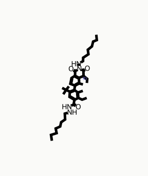 C/C=C1/C(=O)N(NCCCCCCCC)C(=O)c2ccc(-c3c(C(C)(C)C)cc(C(=O)NNCCCCCCCC)c(CC)c3C)c(C)c21